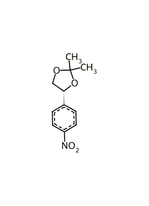 CC1(C)OC[C@@H](c2ccc([N+](=O)[O-])cc2)O1